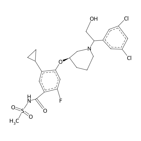 CS(=O)(=O)NC(=O)c1cc(C2CC2)c(O[C@@H]2CCCN(C(CO)c3cc(Cl)cc(Cl)c3)C2)cc1F